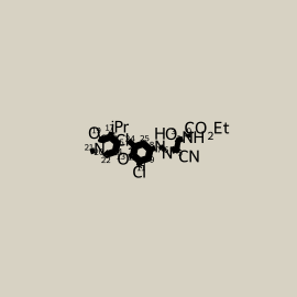 CCOC(=O)NC(=O)C(C#N)=NNc1cc(Cl)c(Oc2cc(C(C)C)c(=O)n(C)c2)c(Cl)c1